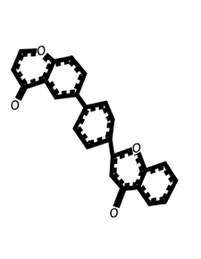 O=c1ccoc2ccc(-c3ccc(-c4cc(=O)c5ccccc5o4)cc3)cc12